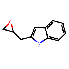 c1ccc2[nH]c(CC3CO3)cc2c1